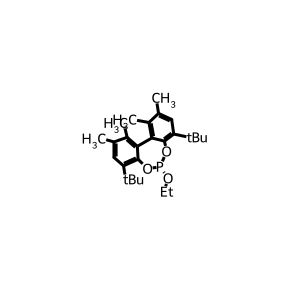 CCOp1oc2c(C(C)(C)C)cc(C)c(C)c2c2c(C)c(C)cc(C(C)(C)C)c2o1